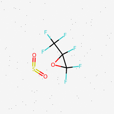 FC(F)(F)C1(F)OC1(F)F.O=S=O